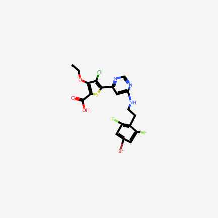 CCOc1c(C(=O)O)sc(-c2cc(NCCc3c(F)cc(Br)cc3F)ncn2)c1Cl